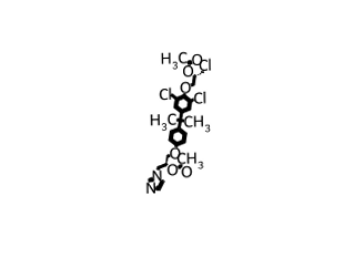 CC(=O)O[C@H](CCl)COc1c(Cl)cc(C(C)(C)c2ccc(OC[C@H](Cn3ccnc3)OC(C)=O)cc2)cc1Cl